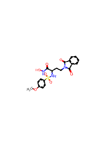 COc1ccc(S(=O)(=O)NC(CCN2C(=O)c3ccccc3C2=O)C(=O)NO)cc1